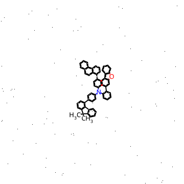 CC1(C)c2ccccc2-c2c(-c3ccc(N(c4ccc(-c5cccc6c5ccc5ccccc56)cc4)c4ccccc4-c4ccc5c(c4)oc4ccccc45)cc3)cccc21